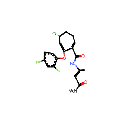 CNC(=O)/C=C(\C)NC(=O)C1=CCC[C@@H](Cl)C=C1Oc1ccc(F)cc1F